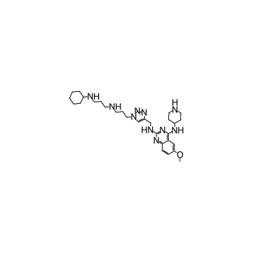 COc1ccc2nc(NCc3cn(CCCNCCCNC4CCCCC4)nn3)nc(NC3CCNCC3)c2c1